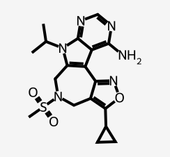 CC(C)n1c2c(c3c(N)ncnc31)-c1noc(C3CC3)c1CN(S(C)(=O)=O)C2